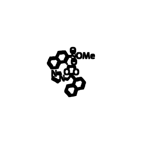 COS(=O)(=O)c1ccc2ccccc2c1[C@@H]1CO[C@](Cn2ccnc2)(c2cccc3ccccc23)O1